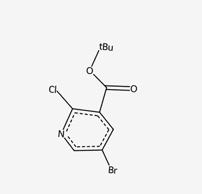 CC(C)(C)OC(=O)c1cc(Br)cnc1Cl